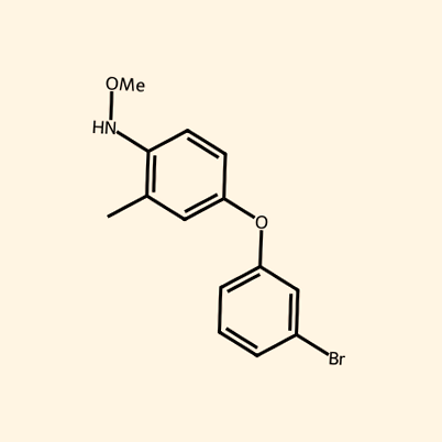 CONc1ccc(Oc2cccc(Br)c2)cc1C